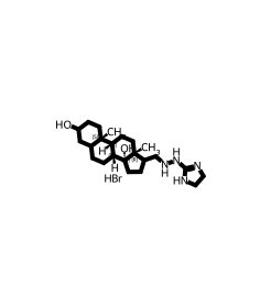 Br.C[C@]12CCC(O)CC1CC[C@@H]1[C@H]2CC[C@]2(C)C(CNNC3=NCCN3)CC[C@@]12O